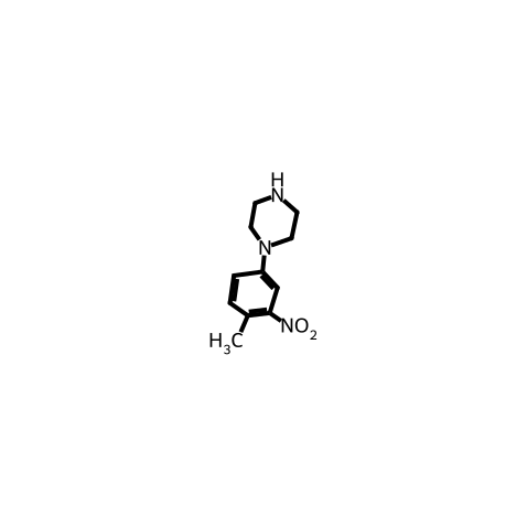 Cc1ccc(N2CCNCC2)cc1[N+](=O)[O-]